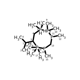 CC(C)C1C[PH](C)(C)[PH](C)(C)P(C)CP(C)P1(C)(C)C